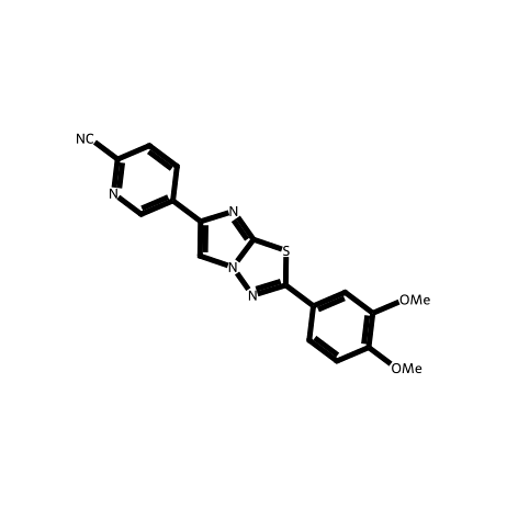 COc1ccc(-c2nn3cc(-c4ccc(C#N)nc4)nc3s2)cc1OC